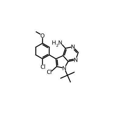 COC1=CC(c2c(Cl)n(C(C)(C)C)c3ncnc(N)c23)=C(Cl)CC1